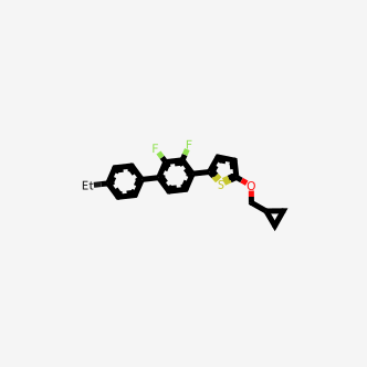 CCc1ccc(-c2ccc(-c3ccc(OCC4CC4)s3)c(F)c2F)cc1